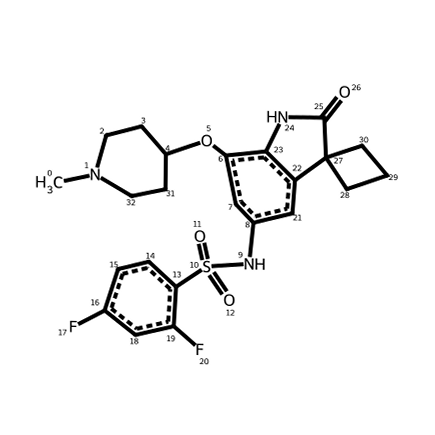 CN1CCC(Oc2cc(NS(=O)(=O)c3ccc(F)cc3F)cc3c2NC(=O)C32CCC2)CC1